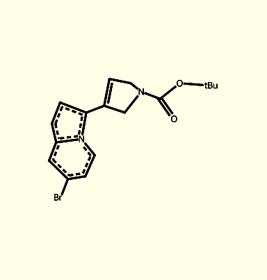 CC(C)(C)OC(=O)N1CC=C(c2ccc3cc(Br)ccn23)C1